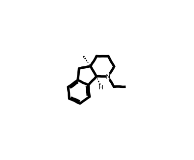 CCN1CCC[C@]2(C)Cc3ccccc3[C@H]12